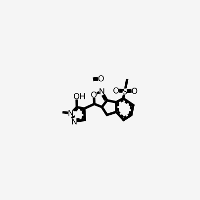 C=O.Cn1ncc(C2ON=C3c4c(cccc4S(C)(=O)=O)CC32)c1O